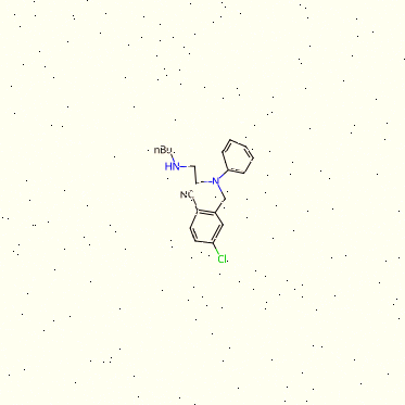 CCCCNCCN(Cc1cc(Cl)ccc1C#N)c1ccccc1